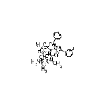 CN(C)C(=O)N(CCC(C)(C)N)[C@@H](c1nc(-c2cccc(F)c2)cn1Cc1ccccc1)C(C)(C)C